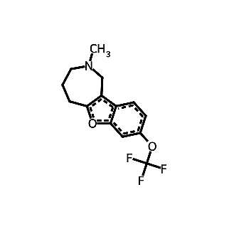 CN1CCCc2oc3cc(OC(F)(F)F)ccc3c2C1